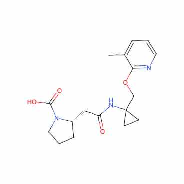 Cc1cccnc1OCC1(NC(=O)C[C@@H]2CCCN2C(=O)O)CC1